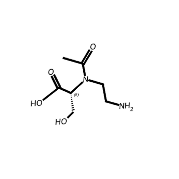 CC(=O)N(CCN)[C@H](CO)C(=O)O